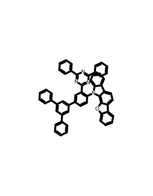 c1ccc(-c2cc(-c3ccccc3)cc(-c3ccc(-n4c5ccccc5c5ccc6c7ccccc7oc6c54)c(-c4nc(-c5ccccc5)nc(-c5ccccc5)n4)c3)c2)cc1